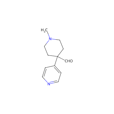 CN1CCC(C=O)(c2ccncc2)CC1